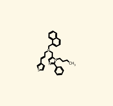 CCCCn1c(CN(CC=Cc2ccsc2)Cc2cccc3ccccc23)cnc1-c1ccccc1